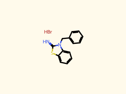 Br.N=c1sc2ccccc2n1Cc1ccccc1